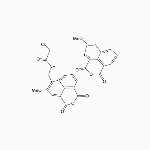 COc1cc2c3c(cccc3c1)C(=O)OC2=O.COc1cc2c3c(cccc3c1CNC(=O)CCl)C(=O)OC2=O